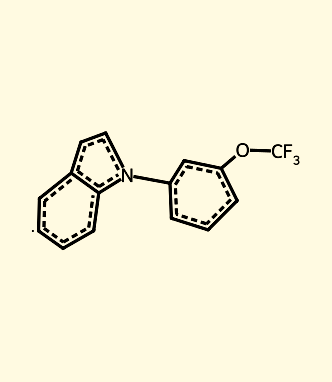 FC(F)(F)Oc1cccc(-n2ccc3c[c]ccc32)c1